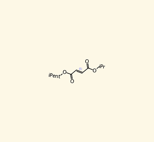 CCCC(C)OC(=O)/C=C/C(=O)OC(C)C